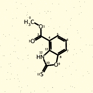 COC(=O)c1cccc2oc(=S)[nH]c12